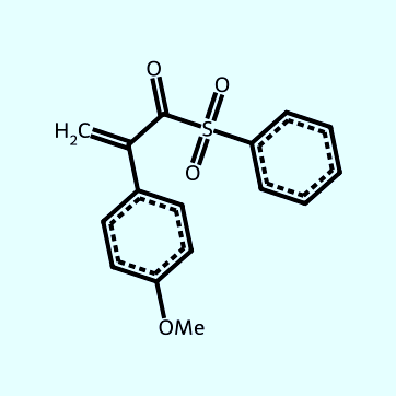 C=C(C(=O)S(=O)(=O)c1ccccc1)c1ccc(OC)cc1